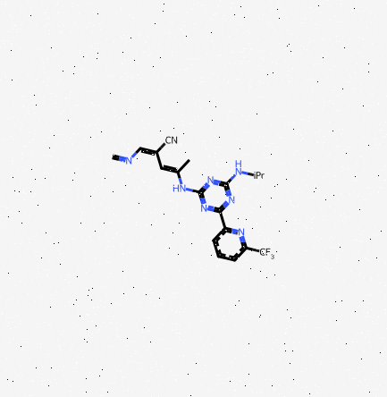 C=N/C=C(C#N)\C=C(/C)Nc1nc(NC(C)C)nc(-c2cccc(C(F)(F)F)n2)n1